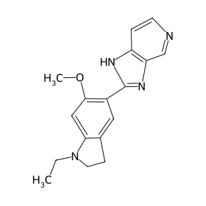 CCN1CCc2cc(-c3nc4cnccc4[nH]3)c(OC)cc21